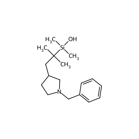 CC(C)(CC1CCN(Cc2ccccc2)C1)[Si](C)(C)O